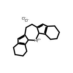 C1=C2CCC3=CC4=C(CCCC4)[CH]3[Hf+2][CH]2C2=C1CCCC2.[Cl-].[Cl-]